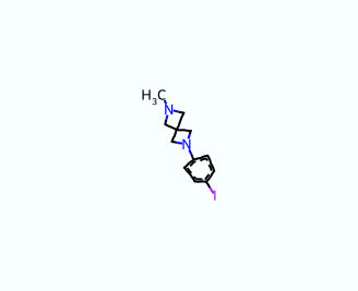 CN1CC2(C1)CN(c1ccc(I)cc1)C2